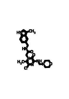 Cc1c[nH]c2ccc(CNC(=O)Cn3c(C)c(Cl)nc(NCN4CCOCC4)c3=O)cc12